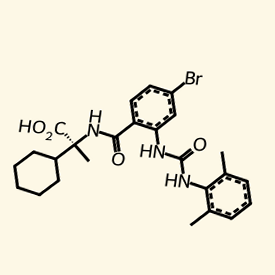 Cc1cccc(C)c1NC(=O)Nc1cc(Br)ccc1C(=O)N[C@](C)(C(=O)O)C1CCCCC1